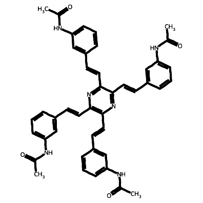 CC(=O)Nc1cccc(C=Cc2nc(C=Cc3cccc(NC(C)=O)c3)c(C=Cc3cccc(NC(C)=O)c3)nc2C=Cc2cccc(NC(C)=O)c2)c1